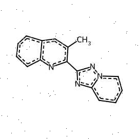 Cc1cc2ccccc2nc1-c1nc2ccccn2n1